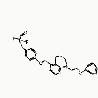 O=CC(F)(F)Cc1ccc(OCc2cccc3c2CCCN3CCOc2ccccc2)cc1